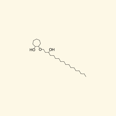 CCCCCCCCCCCCCCCC(O)CCOC1CCCCCC1O